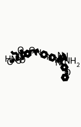 CCCC(C(=O)NC=O)N1C(=O)c2ccc(OC3CN(C4CCC(N5CCC(n6nc(-c7ccc(Oc8ccccc8)cc7)c7c(N)ncnc76)CC5)CC4)C3)cc2C1=O